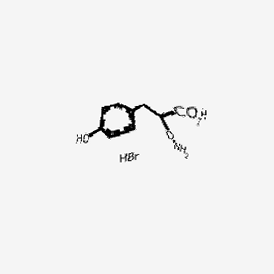 Br.NOC(Cc1ccc(O)cc1)C(=O)O